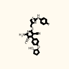 [C-]#[N+]c1c(N)nc(SCc2csc(Nc3ccc(F)cc3)n2)c(C#N)c1-c1ccc(O[C@H]2CCC[C@@H]2O)cc1